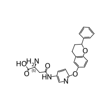 N[C@@H](CC(=O)Nc1ccc(Oc2ccc3c(c2)CCC(c2ccccc2)O3)nc1)C(=O)O